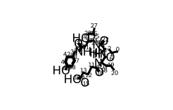 CCC[C@H](NC(=O)[C@@H](NC(=O)CCCC(=O)O)[C@@H](C)CC)C(=O)N[C@@H](CC(C)C)[C@@H](O)CC(=O)NCc1ccc(O)cc1